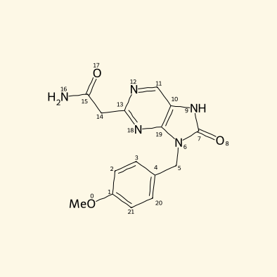 COc1ccc(Cn2c(=O)[nH]c3cnc(CC(N)=O)nc32)cc1